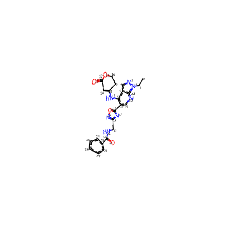 CCn1ncc2c(NC3CCOC(=O)C3)c(-c3nc(CNC(=O)c4ccccc4)no3)cnc21